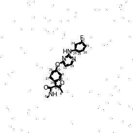 CNC(=O)c1c(C)oc2cc(Oc3ccnc(Nc4cccc(F)c4)n3)ccc12